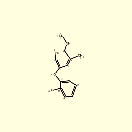 CCC(C)/C=C(\C=C(\C)CNN)Oc1ccccc1F